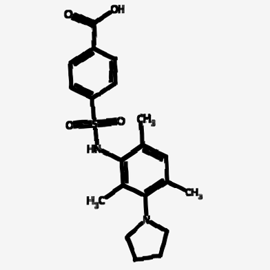 Cc1cc(C)c(N2CCCC2)c(C)c1NS(=O)(=O)c1ccc(C(=O)O)cc1